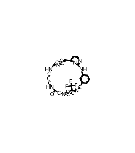 O=C1CN2CCN(Cc3cccc(c3)Nc3nccc(n3)-c3ccc(nc3)NCCCN1)C(C(F)(F)F)C2